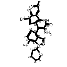 Cc1cc2c(nn1)c(Br)cc1c(-c3ccc(F)c4c3cnn4C3CCCCO3)c(N)c(=O)[nH]c12